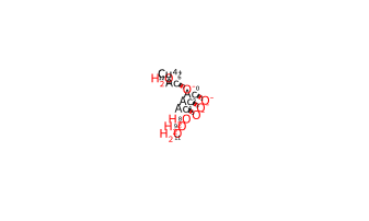 CC(=O)[O-].CC(=O)[O-].CC(=O)[O-].CC(=O)[O-].O.O.O.O.[Cu+4]